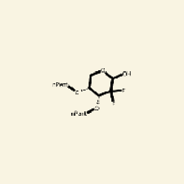 CCCCCO[C@@H]1[C@H](OCCCCC)COC(O)C1(F)F